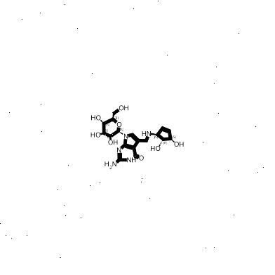 Nc1nc2c(c(CN[C@H]3C=C[C@H](O)[C@@H]3O)cn2[C@H]2O[C@H](CO)[C@@H](O)[C@H](O)[C@@H]2O)c(=O)[nH]1